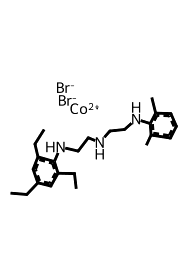 CCc1cc(CC)c(NCCNCCNc2c(C)cccc2C)c(CC)c1.[Br-].[Br-].[Co+2]